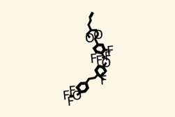 C=CCCC1COC(c2cc(F)c(C(F)(F)Oc3ccc(CCc4ccc(OC(F)(F)F)cc4)c(F)c3)c(F)c2)OC1